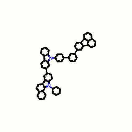 c1ccc(-n2c3ccc(-c4ccc5c6ccccc6n(-c6ccc(-c7cccc(-c8ccc9c(c8)-c8cccc%10cccc-9c8%10)c7)cc6)c5c4)cc3c3ccc4ccccc4c32)cc1